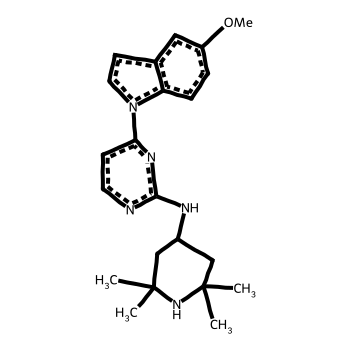 COc1ccc2c(ccn2-c2ccnc(NC3CC(C)(C)NC(C)(C)C3)n2)c1